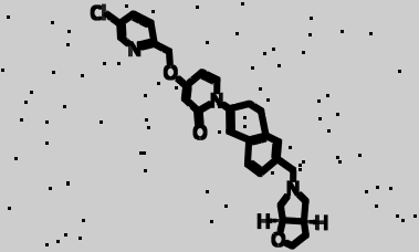 O=c1cc(OCc2ccc(Cl)cn2)ccn1C1=Cc2ccc(CN3C[C@H]4CCO[C@H]4C3)cc2CC1